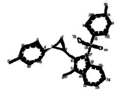 Cc1ccc([C@@H]2CC2c2c(C)c3ccccc3n2S(=O)(=O)c2ccc(C)cc2)cc1